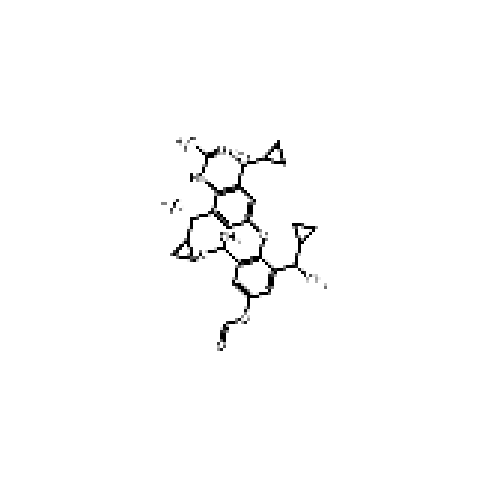 CC(=O)Nc1c([C@@H](C)C2CC2)cc(Oc2c(C(C)C)cc(OC=O)cc2[C@H](C)C2CC2)cc1[C@@H](C)C1CC1